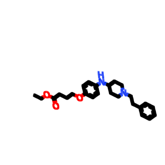 CCOC(=O)CCCOc1ccc(NC2CCN(CCc3ccccc3)CC2)cc1